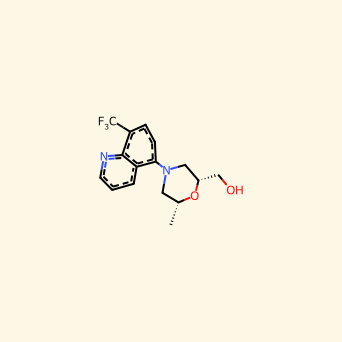 C[C@@H]1CN(c2ccc(C(F)(F)F)c3ncccc23)C[C@H](CO)O1